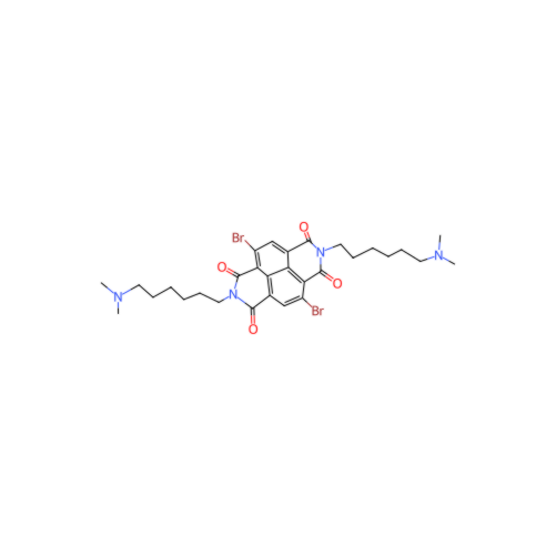 CN(C)CCCCCCN1C(=O)c2cc(Br)c3c4c(cc(Br)c(c24)C1=O)C(=O)N(CCCCCCN(C)C)C3=O